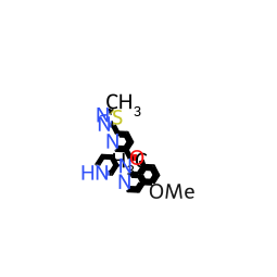 COc1ccc(C)c2c(N(C(=O)c3ccc(-c4nnc(C)s4)nc3)[C@@H]3CCCNC3)nccc12